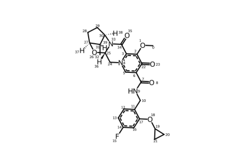 COc1c2n(cc(C(=O)NCc3ccc(F)cc3OC3CC3)c1=O)C[C@@H]1O[C@H]3CC[C@H]([C@H]3C)N1C2=O